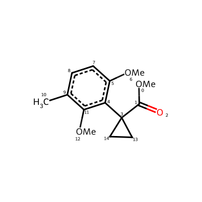 COC(=O)C1(c2c(OC)ccc(C)c2OC)CC1